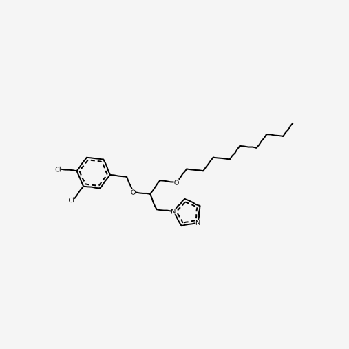 CCCCCCCCCOCC(Cn1ccnc1)OCc1ccc(Cl)c(Cl)c1